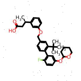 C[C@H](CC(=O)O)c1cccc(OCc2ccc(-c3cc(OC4CCCCO4)ccc3F)c(C(C)(C)C)c2)c1